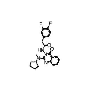 CN(c1nc2ccccc2c(=O)n1NC(=O)Cc1ccc(F)c(F)c1)C1CCCC1